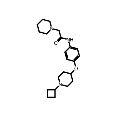 O=C(CN1CCCCC1)Nc1ccc(OC2CCN(C3CCC3)CC2)cc1